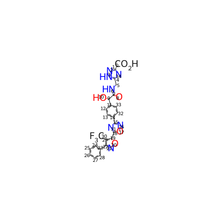 O=C(O)c1n[nH]c(CNC(=O)C(O)c2ccc(-c3noc(-c4onc(-c5ccccc5)c4C(F)(F)F)n3)cc2)n1